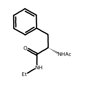 CCNC(=O)[C@H](Cc1ccccc1)NC(C)=O